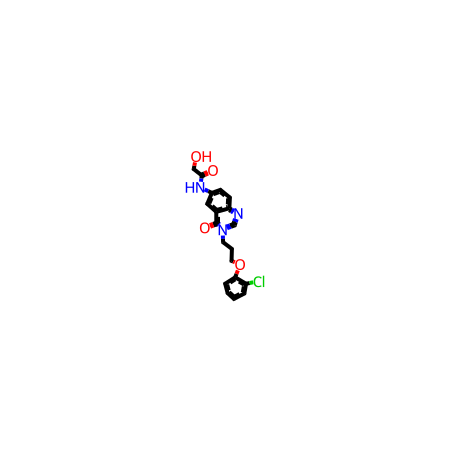 O=C(CO)Nc1ccc2ncn(CCCOc3ccccc3Cl)c(=O)c2c1